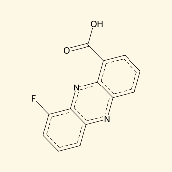 O=C(O)c1cccc2nc3cccc(F)c3nc12